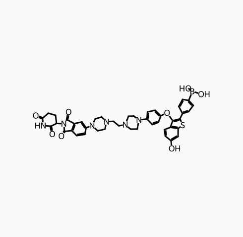 O=C1CCC(N2C(=O)c3ccc(N4CCN(CCN5CCN(c6ccc(Oc7c(-c8ccc(B(O)O)cc8)sc8cc(O)ccc78)cc6)CC5)CC4)cc3C2=O)C(=O)N1